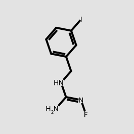 NC(=NF)NCc1cccc(I)c1